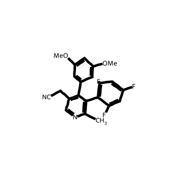 COc1cc(OC)cc(-c2c(CC#N)cnc(C)c2-c2c(F)cc(F)cc2F)c1